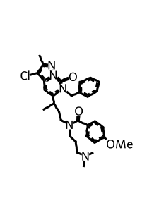 COc1ccc(C(=O)N(CCCN(C)C)CCC(C)c2cc3c(Cl)c(C)nn3c(=O)n2Cc2ccccc2)cc1